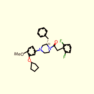 COc1ccc(N2CCN(C(=O)Cc3c(F)cccc3F)[C@@H](Cc3ccccc3)C2)cc1OC1CCCC1